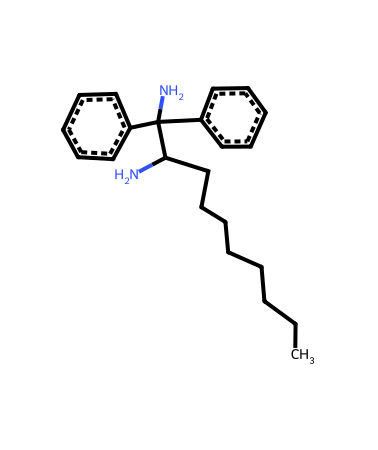 CCCCCCCCC(N)C(N)(c1ccccc1)c1ccccc1